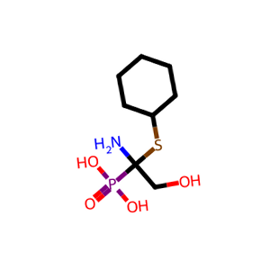 NC(CO)(SC1CCCCC1)P(=O)(O)O